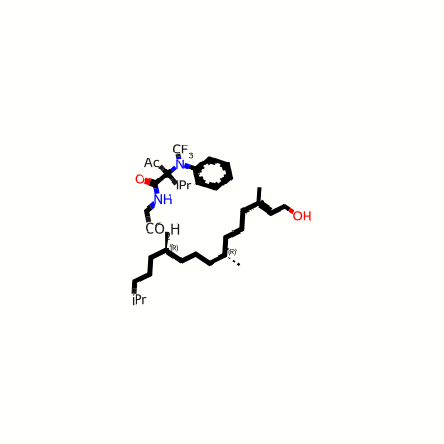 CC(=CCO)CCC[C@H](C)CCC[C@H](C)CCCC(C)C.CC(=O)C(C(=O)NCC(=O)O)(C(C)C)N(c1ccccc1)C(F)(F)F